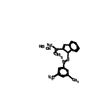 Cc1cc(C)cc([O][Ti][CH]2c3ccccc3CC2N(C)C)c1.Cl.Cl